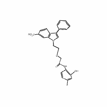 Cc1ccc(NC(=O)COCCn2cc(-c3ccccc3)c3ccc(C(=O)O)cc32)c(O)c1